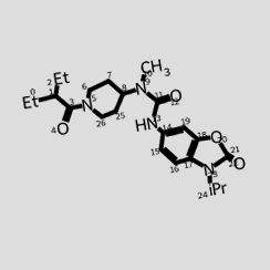 CCC(CC)C(=O)N1CCC(N(C)C(=O)Nc2ccc3c(c2)oc(=O)n3C(C)C)CC1